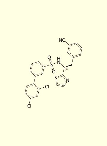 N#Cc1cccc(C[C@H](NS(=O)(=O)c2cccc(-c3ccc(Cl)cc3Cl)c2)c2nccs2)c1